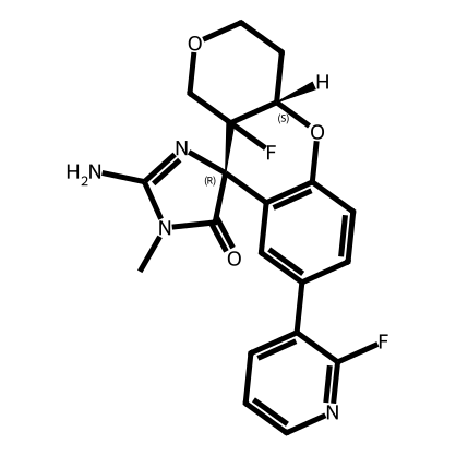 CN1C(=O)[C@]2(N=C1N)c1cc(-c3cccnc3F)ccc1O[C@H]1CCOCC12F